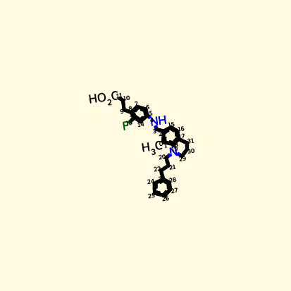 Cc1c(CNc2ccc(CCC(=O)O)c(F)c2)ccc2c1N(CCCc1ccccc1)CCC2